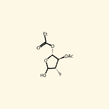 CCC(=O)O[C@H]1OC(O)[C@@H](F)[C@@H]1OC(C)=O